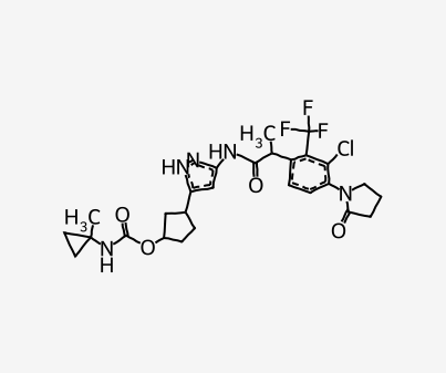 CC(C(=O)Nc1cc(C2CCC(OC(=O)NC3(C)CC3)C2)[nH]n1)c1ccc(N2CCCC2=O)c(Cl)c1C(F)(F)F